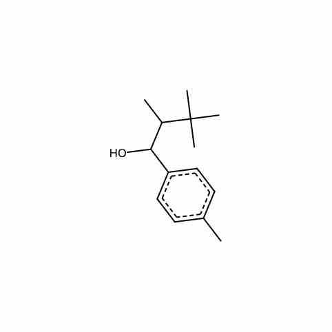 Cc1ccc(C(O)C(C)C(C)(C)C)cc1